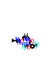 O=C([C@@H](NC(=O)C(F)(F)F)c1cccc(C(F)(F)F)c1)N1CC[C@@H]2CC[C@H](Oc3cnc(C4CC4)cn3)N2C1